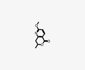 COc1ccc2c(n1)CC(C)OC2=O